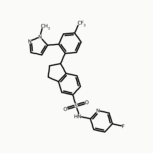 Cn1nccc1-c1cc(C(F)(F)F)ccc1C1CCc2cc(S(=O)(=O)Nc3ccc(F)cn3)ccc21